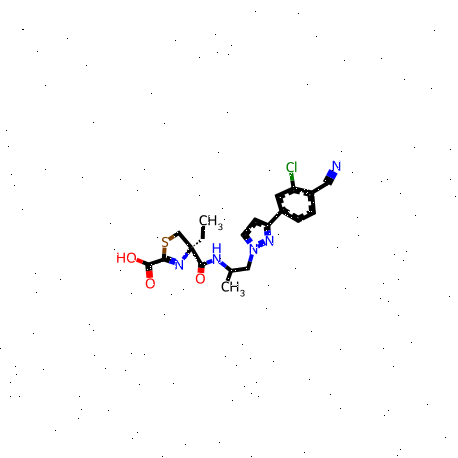 CC[C@@]1(C(=O)NC(C)Cn2ccc(-c3ccc(C#N)c(Cl)c3)n2)CSC(C(=O)O)=N1